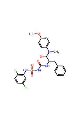 COc1ccc(N(C)C(=O)C(Cc2ccccc2)NC(=O)NS(=O)(=O)Nc2cc(Cl)ccc2F)cc1